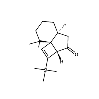 CC1(C)CCC[C@@]2(C)CC(=O)[C@@H]3C([Si](C)(C)C)=C[C@]312